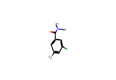 CC(C)N(C(=O)c1cc(F)cc(C(F)(F)F)c1)C(C)C